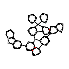 c1ccc(-c2ccc(-c3ccc4ccccc4c3)cc2N(c2cccc(-c3ccc4sc5ccccc5c4c3)c2)c2cccc3c2-c2ccccc2C3(c2ccccc2)c2ccccc2)cc1